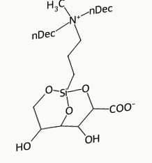 CCCCCCCCCC[N+](C)(CCCCCCCCCC)CCC[Si]12OCC(O)C(O1)C(O)C(C(=O)[O-])O2